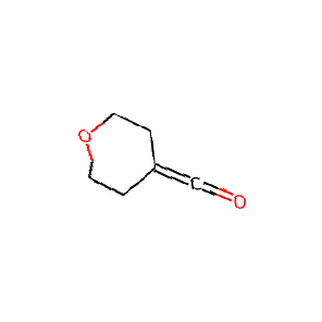 O=C=C1CCOCC1